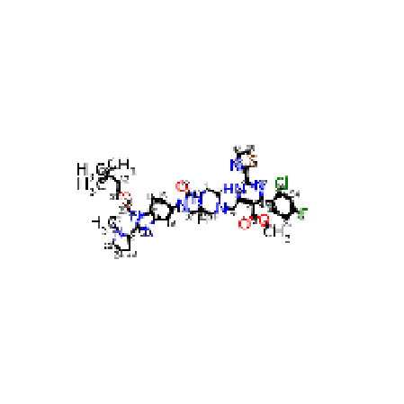 COC(=O)C1=C(CN2CCN3C(=O)N(c4ccc5c(c4)nc([C@H]4CCCN4C)n5COCC[Si](C)(C)C)C[C@@H]3C2)NC(c2nccs2)=N[C@H]1c1ccc(F)cc1Cl